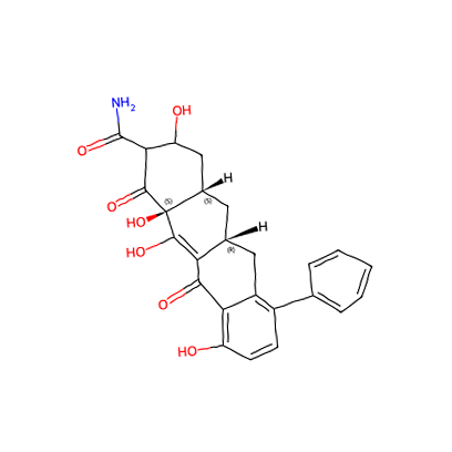 NC(=O)C1C(=O)[C@@]2(O)C(O)=C3C(=O)c4c(O)ccc(-c5ccccc5)c4C[C@H]3C[C@H]2CC1O